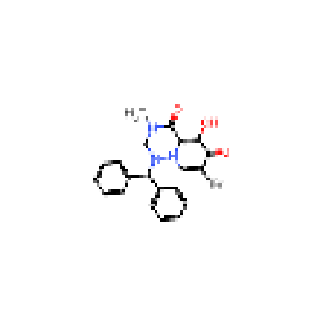 CC(C)c1cn2c(c(O)c1=O)C(=O)N(C)CN2C(c1ccccc1)c1ccccc1